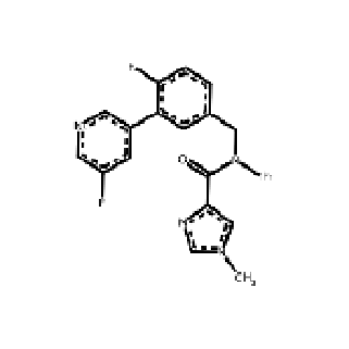 CC(C)N(Cc1ccc(F)c(-c2cncc(F)c2)c1)C(=O)c1cn(C)cn1